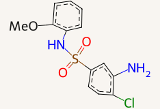 COc1ccccc1NS(=O)(=O)c1ccc(Cl)c(N)c1